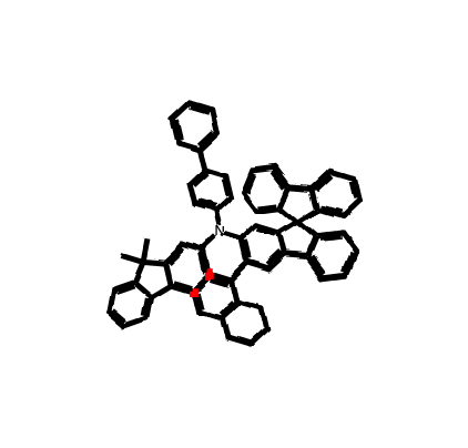 CC1(C)c2ccccc2-c2ccc(N(c3ccc(-c4ccccc4)cc3)c3cc4c(cc3-c3cccc5c3CCCC5)-c3ccccc3C43c4ccccc4-c4ccccc43)cc21